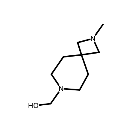 CN1CC2(CCN(CO)CC2)C1